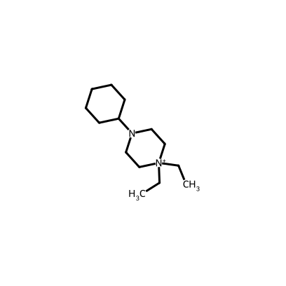 CC[N+]1(CC)CCN(C2CCCCC2)CC1